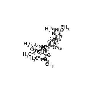 CCOC(=O)C(CC(C)C)NP(=O)(NC(CC(C)C)C(=O)OCC)OC[C@H]1OC2(C)[C@@H](n3cnc4c(OC)nc(N)nc43)C23OC(=O)OC13